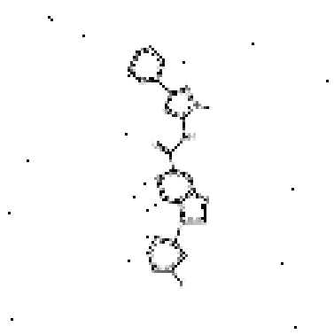 Cn1nc(-c2ccccc2)cc1NC(=O)c1ccc2c(c1)ncn2-c1cccc(F)c1